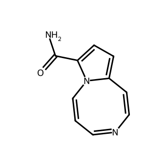 NC(=O)c1ccc2n1C=CC=NC=C2